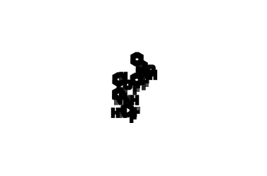 O=S(=O)(Cc1ccccc1)Nc1ccc(Oc2ncccc2-c2ccnc(NC3CNCC(F)(F)C3)n2)c(F)c1F